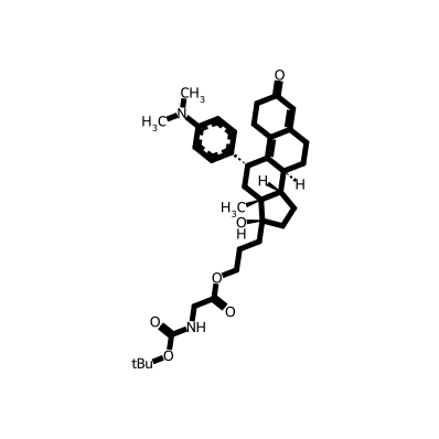 CN(C)c1ccc([C@H]2C[C@]3(C)[C@@H](CC[C@]3(O)CCCOC(=O)CNC(=O)OC(C)(C)C)[C@@H]3CCC4=CC(=O)CCC4=C32)cc1